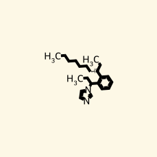 CCCCCCC[C@H](CC)c1ccccc1C(CC)n1ccnc1